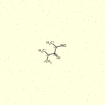 CN(C)C(=O)N(C)N=O